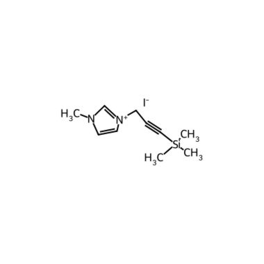 Cn1cc[n+](CC#C[Si](C)(C)C)c1.[I-]